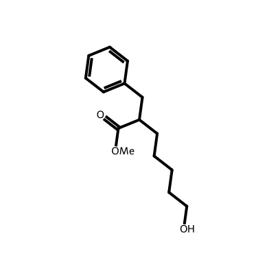 COC(=O)C(CCCCCO)Cc1ccccc1